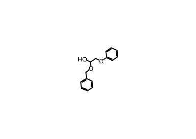 OC(COc1ccccc1)OCc1ccccc1